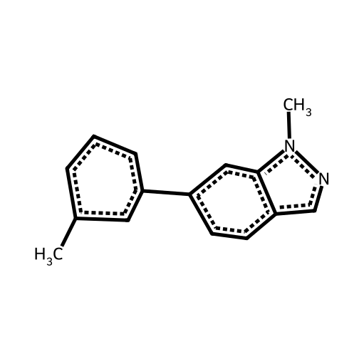 Cc1cccc(-c2ccc3cnn(C)c3c2)c1